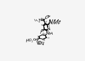 CNc1nc(NC2CCC(N(C(=O)O)C(C)(C)C)CC2)c(F)cc1C(N)=O